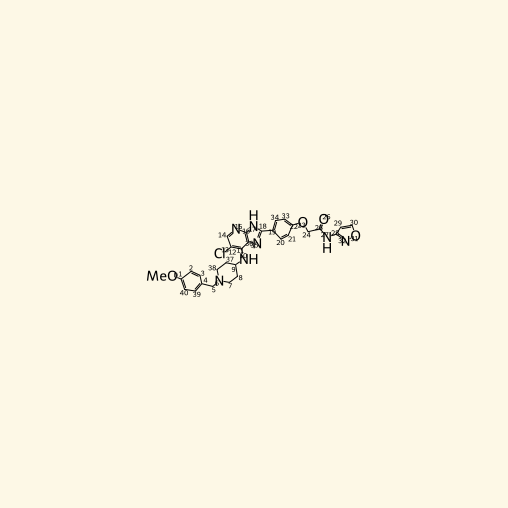 COc1ccc(CN2CCC(Nc3c(Cl)cnc4[nH]c(-c5ccc(OCC(=O)Nc6ccon6)cc5)nc34)CC2)cc1